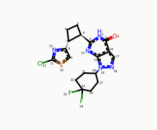 O=c1[nH]c([C@@H]2CC[C@H]2c2csc(Cl)n2)nc2c1cnn2C1CCC(F)(F)CC1